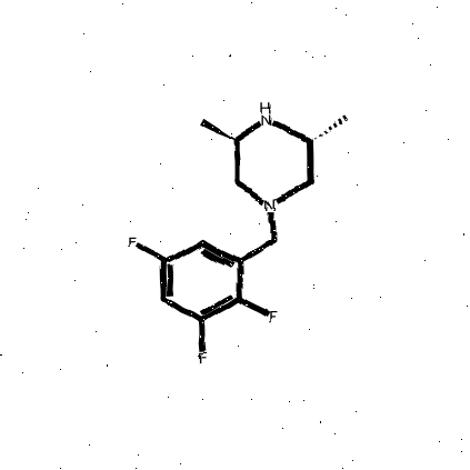 C[C@@H]1CN(Cc2cc(F)cc(F)c2F)C[C@@H](C)N1